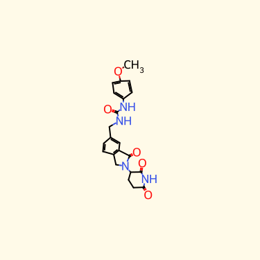 COc1ccc(NC(=O)NCc2ccc3c(c2)C(=O)N(C2CCC(=O)NC2=O)C3)cc1